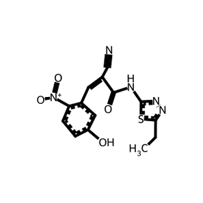 CCc1nnc(NC(=O)C(C#N)=Cc2cc(O)ccc2[N+](=O)[O-])s1